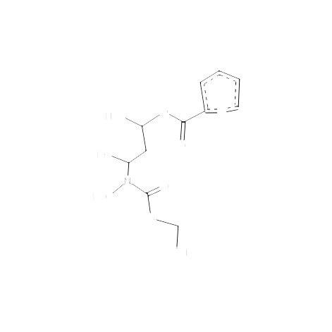 CCOC(=O)N(C)C(C)CC(C)OC(=O)c1ccccc1